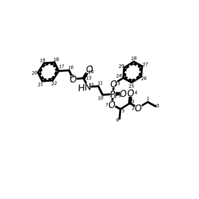 CCOC(=O)C(C)OP(=O)(CCNC(=O)OCc1ccccc1)Oc1ccccc1